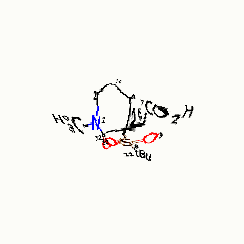 CN1CCCC(CC(=O)O)(S(=O)(=O)C(C)(C)C)C1=O